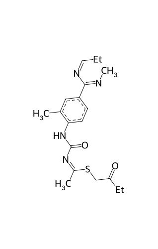 CC/C=N\C(=N/C)c1ccc(NC(=O)/N=C(/C)SCC(=O)CC)c(C)c1